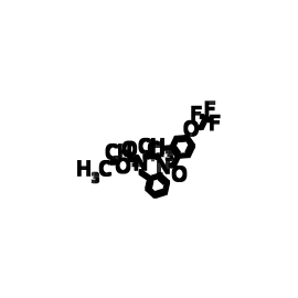 C=C(C)OC(=O)N1Cc2ccccc2N(C(=O)c2ccc(OCC(F)(F)F)cc2Cl)C[C@H]1C